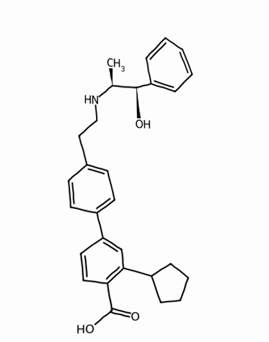 C[C@H](NCCc1ccc(-c2ccc(C(=O)O)c(C3CCCC3)c2)cc1)[C@H](O)c1ccccc1